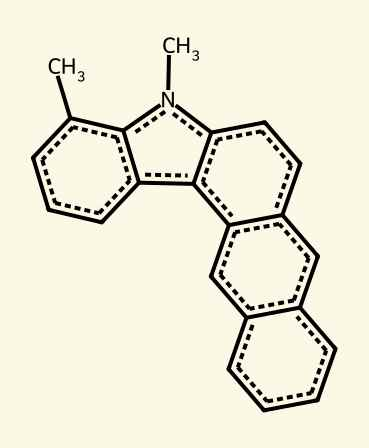 Cc1cccc2c3c4cc5ccccc5cc4ccc3n(C)c12